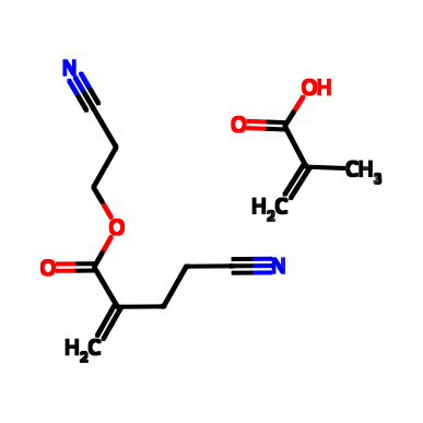 C=C(C)C(=O)O.C=C(CCC#N)C(=O)OCCC#N